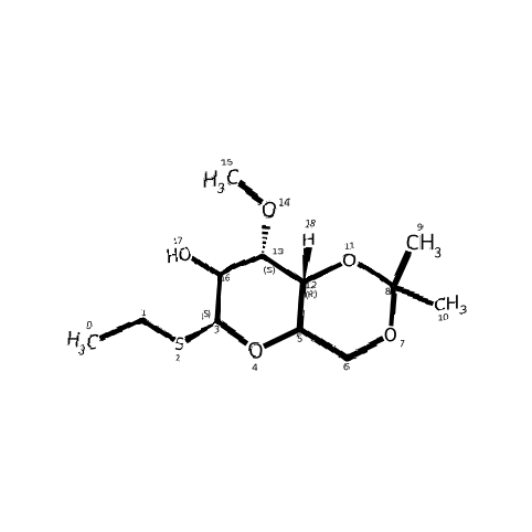 CCS[C@@H]1OC2COC(C)(C)O[C@H]2[C@@H](OC)C1O